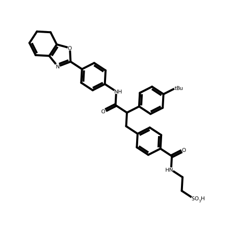 CC(C)(C)c1ccc(C(Cc2ccc(C(=O)NCCS(=O)(=O)O)cc2)C(=O)Nc2ccc(-c3nc4c(o3)CCC=C4)cc2)cc1